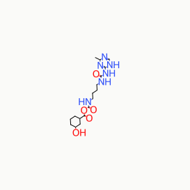 CC1N=CNC(NC(=O)NCCCCNC(=O)OC(=O)C2CCCC(O)C2)=N1